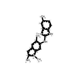 Cc1ccc2[nH]c(Nc3cc4c(cc3C)cc(N)n4C)nc2c1